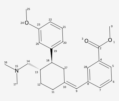 COC(=O)c1cccc(/C=C2/CC[C@H](CN(C)C)[C@@H](c3cccc(OC)c3)C2)c1